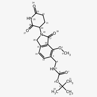 COc1c(CNC(=O)OC(C)(C)C)ccc2c1C(=O)N(C1CCC(=O)NC1=O)C2